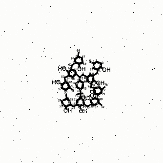 Cc1ccc(O)c(Cc2cc(CC(c3ccc(C(C)(C)c4cc(Cc5cc(C)ccc5O)c(O)c(Cc5cc(C)ccc5O)c4)cc3)c3cc(Cc4cc(C)ccc4O)c(O)c(Cc4cc(C)ccc4O)c3)cc(Cc3cc(C)ccc3O)c2O)c1